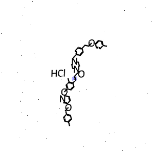 Cc1ccc(COc2ccc(Oc3ccc(/C=C/C(=O)N4CCN(Cc5ccc(CCOc6ccc(C)cc6)cc5)CC4)c(C)c3)nc2)cc1.Cl